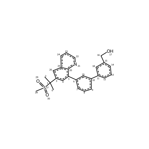 CC(C)(c1cc(-c2cccc(-c3cccc(CO)c3)c2)c2ncccc2c1)S(C)(=O)=O